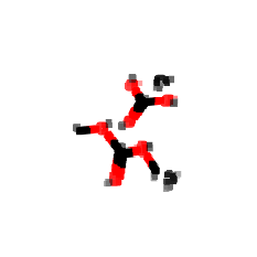 COC(=O)OC.O=C([O-])[O-].[Cs+].[Cs+]